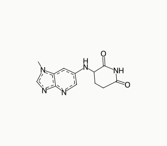 Cn1cnc2ncc(NC3CCC(=O)NC3=O)cc21